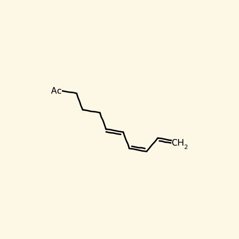 C=C/C=C\C=C\CCCC(C)=O